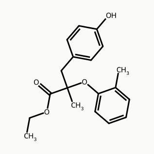 CCOC(=O)C(C)(Cc1ccc(O)cc1)Oc1ccccc1C